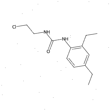 CCc1ccc(NC(=O)NCCCl)c(CC)c1